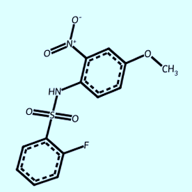 COc1ccc(NS(=O)(=O)c2ccccc2F)c([N+](=O)[O-])c1